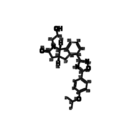 CC(C)Oc1ccc(-c2nc(-c3cccc4c3C[C@@H]3CC(=O)N(CCO)[C@H]43)no2)cc1